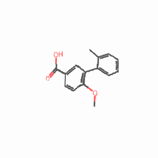 COc1ccc(C(=O)O)cc1-c1ccccc1C